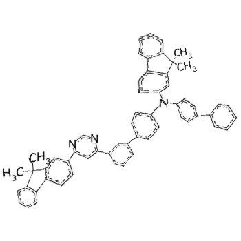 CC1(C)c2ccccc2-c2ccc(-c3cc(-c4cccc(-c5ccc(N(c6ccc(-c7ccccc7)cc6)c6ccc7c(c6)C(C)(C)c6ccccc6-7)cc5)c4)ncn3)cc21